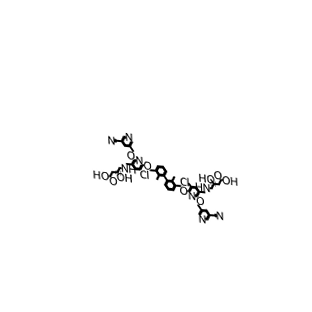 Cc1c(COc2nc(OCc3cncc(C#N)c3)c(CNC[C@@H](O)CC(=O)O)cc2Cl)cccc1-c1cccc(COc2nc(OCc3cncc(C#N)c3)c(CNC[C@@H](O)CC(=O)O)cc2Cl)c1C